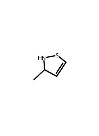 IC1C=CSN1